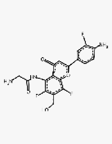 NCC(=O)Nc1c(F)c(CO)c(F)c2oc(-c3ccc(N)c(F)c3)cc(=O)c12